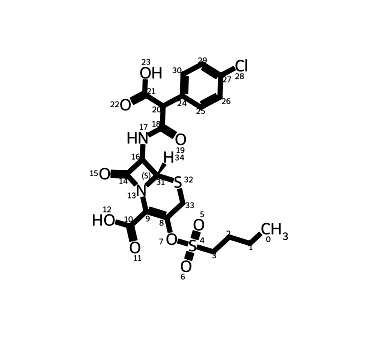 CCCCS(=O)(=O)OC1=C(C(=O)O)N2C(=O)C(NC(=O)C(C(=O)O)c3ccc(Cl)cc3)[C@@H]2SC1